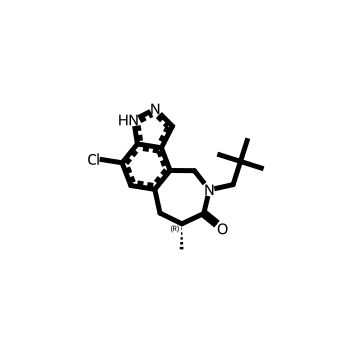 C[C@@H]1Cc2cc(Cl)c3[nH]ncc3c2CN(CC(C)(C)C)C1=O